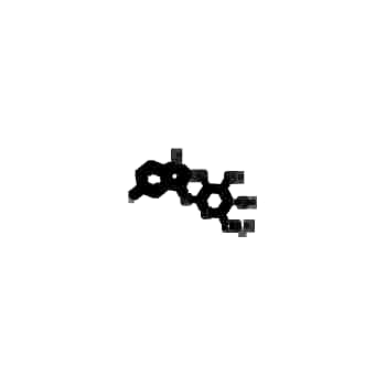 O=C(O)[C@H]1O[C@@H](Oc2c[nH]c3ccc(I)cc23)[C@H](O)[C@@H](O)[C@@H]1O